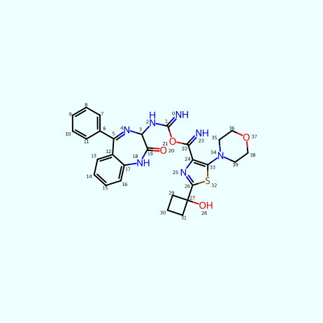 N=C(NC1N=C(c2ccccc2)c2ccccc2NC1=O)OC(=N)c1nc(C2(O)CCC2)sc1N1CCOCC1